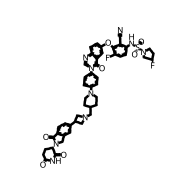 N#Cc1c(NS(=O)(=O)N2CC[C@@H](F)C2)ccc(F)c1Oc1ccc2ncn(-c3ccc(N4CCC(CN5CC(c6ccc7c(c6)CN([C@H]6CCC(=O)NC6=O)C7=O)C5)CC4)cc3)c(=O)c2c1